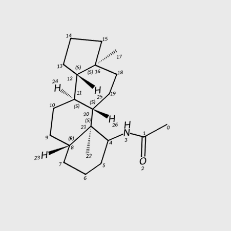 CC(=O)NC1CCC[C@@H]2CC[C@H]3[C@@H]4CCC[C@@]4(C)CC[C@@H]3[C@@]12C